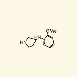 COc1ccccc1NC1CCNC1